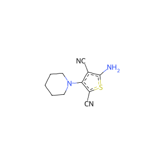 N#Cc1sc(N)c(C#N)c1N1CCCCC1